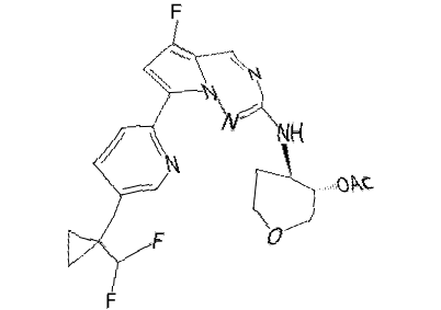 CC(=O)O[C@@H]1COCC[C@H]1Nc1ncc2c(F)cc(-c3ccc(C4(C(F)F)CC4)cn3)n2n1